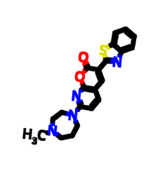 CN1CCCN(c2ccc3cc(-c4nc5ccccc5s4)c(=O)oc3n2)CC1